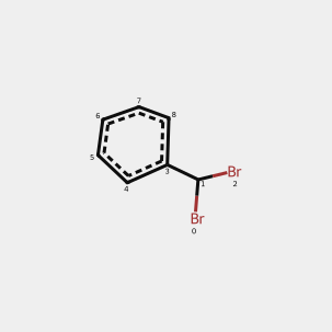 BrC(Br)c1ccccc1